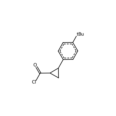 CC(C)(C)c1ccc(C2CC2C(=O)Cl)cc1